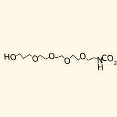 O=C(O)NCCOCCOCCOCCOCCCO